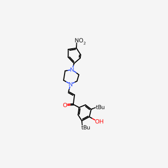 CC(C)(C)c1cc(C(=O)C=CN2CCN(c3ccc([N+](=O)[O-])cc3)CC2)cc(C(C)(C)C)c1O